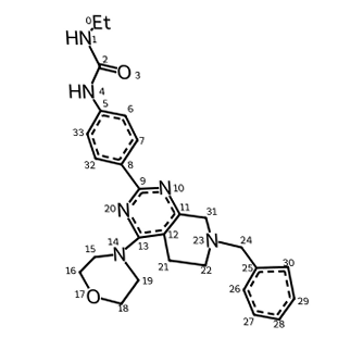 CCNC(=O)Nc1ccc(-c2nc3c(c(N4CCOCC4)n2)CCN(Cc2ccccc2)C3)cc1